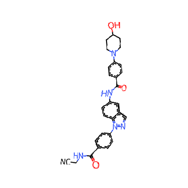 N#CCNC(=O)c1ccc(-n2ncc3cc(NC(=O)c4ccc(N5CCC(O)CC5)cc4)ccc32)cc1